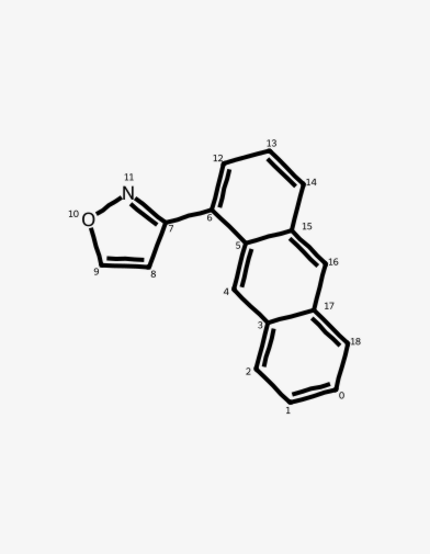 c1ccc2cc3c(-c4ccon4)cccc3cc2c1